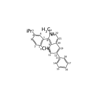 Cc1ccc(C(C)C)cc1-c1c2ccc(-c3ccccc3)cc2cc[n+]1C